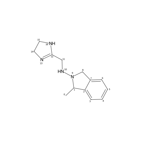 CC1c2ccccc2CN1NCC1=NCCN1